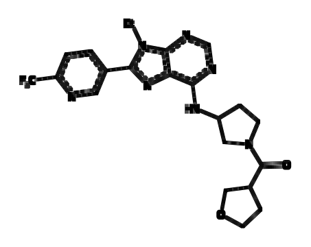 CCn1c(-c2ccc(C(F)(F)F)nc2)nc2c(NC3CCN(C(=O)C4CCOC4)C3)ncnc21